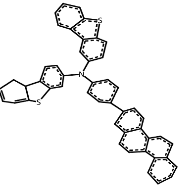 C1=CCC2C(=C1)Sc1cc(N(c3ccc(-c4ccc5c(ccc6c7ccccc7ccc56)c4)cc3)c3ccc4sc5ccccc5c4c3)ccc12